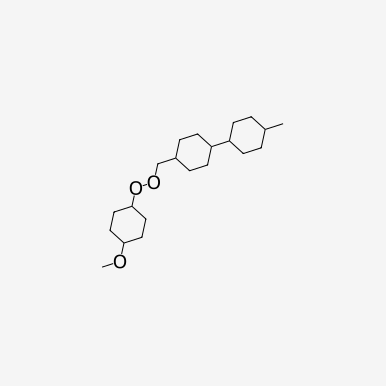 COC1CCC(OOCC2CCC(C3CCC(C)CC3)CC2)CC1